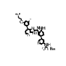 CCCCC(=O)Nc1cncc(-c2ccc3[nH]nc(-c4nc5c(-c6cc(F)cc(OCCN(C)C)c6)ccnc5[nH]4)c3c2)c1